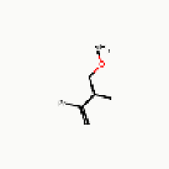 C=C(C(C)C)C(C)CO[SiH3]